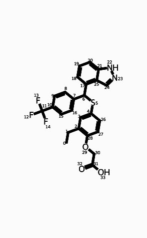 CCc1cc(SC(c2ccc(C(F)(F)F)cc2)c2cccc3[nH]ncc23)ccc1OCC(=O)O